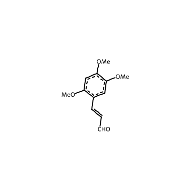 COc1cc(OC)c(OC)cc1C=CC=O